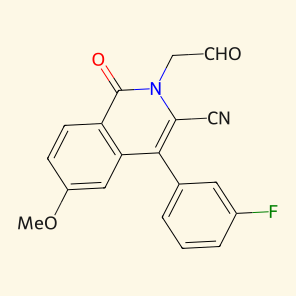 COc1ccc2c(=O)n(CC=O)c(C#N)c(-c3cccc(F)c3)c2c1